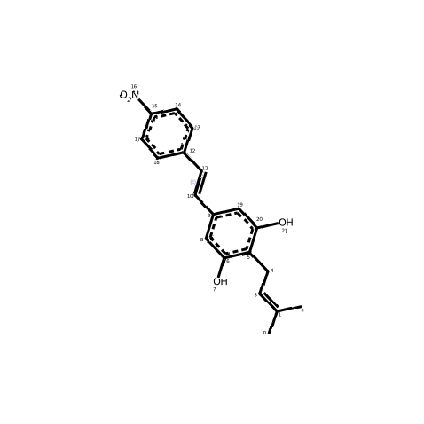 CC(C)=CCc1c(O)cc(/C=C/c2ccc([N+](=O)[O-])cc2)cc1O